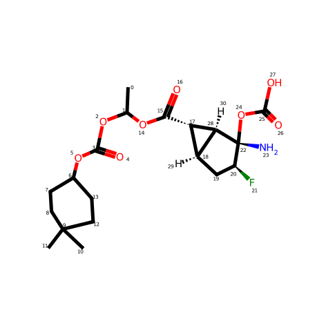 CC(OC(=O)OC1CCC(C)(C)CC1)OC(=O)[C@H]1[C@@H]2C[C@H](F)[C@@](N)(OC(=O)O)[C@@H]21